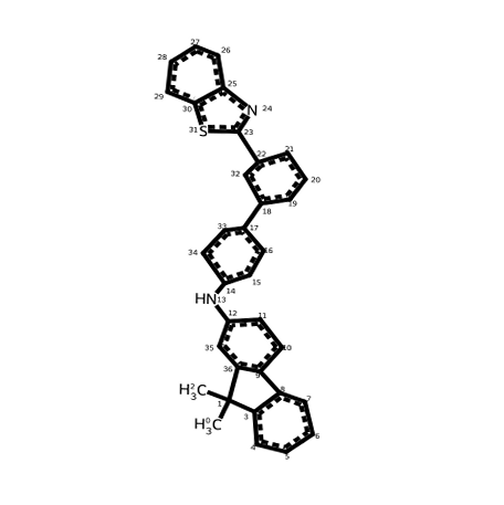 CC1(C)c2ccccc2-c2ccc(Nc3ccc(-c4cccc(-c5nc6ccccc6s5)c4)cc3)cc21